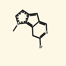 Cn1ccc2c1=C1CC(Br)=NC=C1C=2